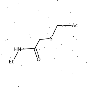 CCNC(=O)CSCC(C)=O